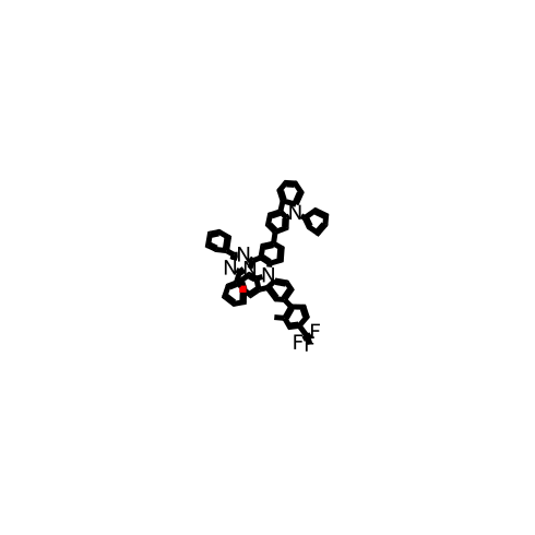 Cc1cc(C(F)(F)F)ccc1-c1ccc2c(c1)c1ccccc1n2-c1ccc(-c2ccc3c4ccccc4n(-c4ccccc4)c3c2)cc1-c1nc(-c2ccccc2)nc(-c2ccccc2)n1